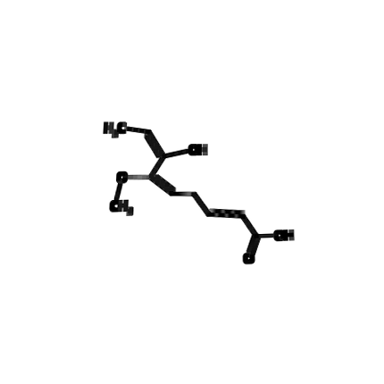 C/C=C(O)\C(=C/C/C=C/C(=O)O)OC